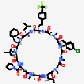 CC[C@H](C)[C@@H]1NC(=O)[C@H](C)N(C)C(=O)C[C@@H](C(=O)N2CCCC2)NC(=O)[C@H](CC(C)C)N(C)C(=O)[C@H](CC2CCCCC2)N(C)C(=O)[C@H](CC(C)C)NC(=O)[C@H](CCc2ccc(C(F)(F)F)cc2)NC(=O)CN(C)C(=O)[C@H](Cc2ccc(Cl)cc2)N(C)C(=O)CN(C)C(=O)CN(C)C1=O